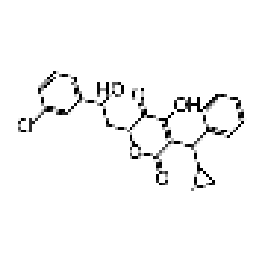 O=C1OC(CC(O)c2cccc(Cl)c2)C(=O)C(O)=C1C(c1ccccc1)C1CC1